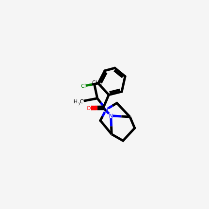 CC(C)N1CC2CCC(C1)N2C(=O)c1ccccc1Cl